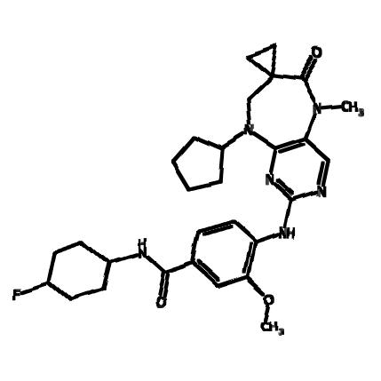 COc1cc(C(=O)NC2CCC(F)CC2)ccc1Nc1ncc2c(n1)N(C1CCCC1)CC1(CC1)C(=O)N2C